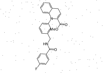 COC(=O)C1=CCc2ccccc2N1c1cccc(CNC(=O)c2ccc(F)cc2)c1